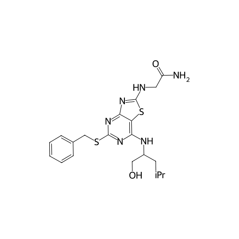 CC(C)CC(CO)Nc1nc(SCc2ccccc2)nc2nc(NCC(N)=O)sc12